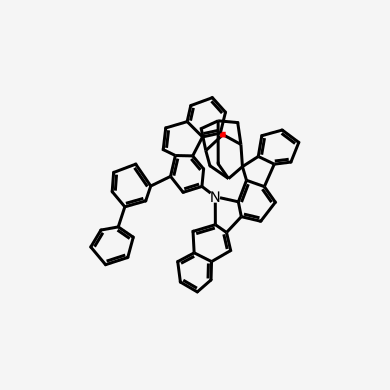 c1ccc(-c2cccc(-c3cc(-n4c5cc6ccccc6cc5c5ccc6c(c54)C4(c5ccccc5-6)C5CC6CC(C5)CC4C6)cc4c3ccc3ccccc34)c2)cc1